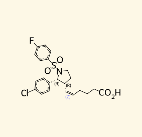 O=C(O)CCC/C=C\[C@H]1CCN(S(=O)(=O)c2ccc(F)cc2)[C@H]1c1ccc(Cl)cc1